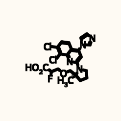 C[C@@]1(COCC(F)C(=O)O)CCCN1c1cc(-n2ccnc2)c2ccc(Cl)c(Cl)c2n1